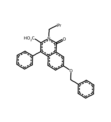 CC(C)Cn1c(C(=O)O)c(-c2ccccc2)c2ccc(OCc3ccccc3)cc2c1=O